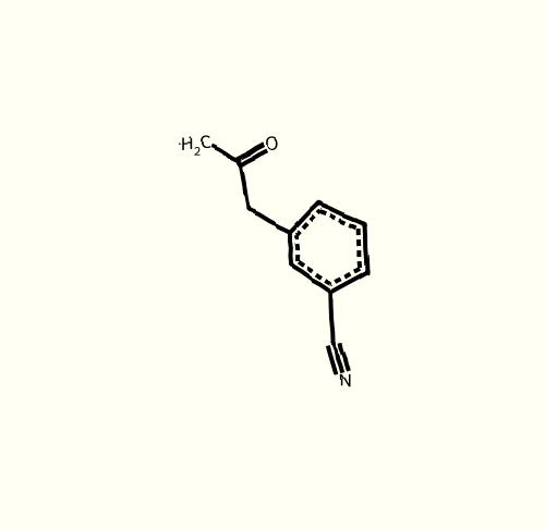 [CH2]C(=O)Cc1cccc(C#N)c1